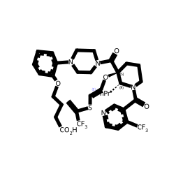 C=C(S/C=C/O[C@@]1(C(=O)N2CCN(c3ccccc3OCCCC(=O)O)CC2)CCCN(C(=O)c2cnccc2C(F)(F)F)[C@@H]1CCC)C(F)(F)F